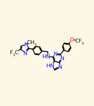 Cn1cc(C(F)(F)F)nc1-c1ccc(CNc2nc(-c3ccc(OC(F)(F)F)cc3)nc3nc[nH]c23)cc1